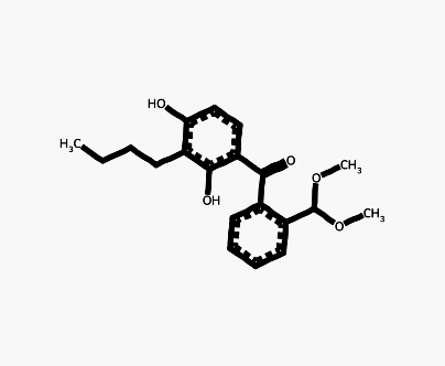 CCCCc1c(O)ccc(C(=O)c2ccccc2C(OC)OC)c1O